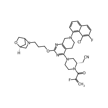 C=C(F)C(=O)N1CCN(c2nc(OCCCN3C[C@@H]4CC3CO4)nc3c2CCN(c2cccc4ccc(F)c(Cl)c24)C3)C[C@@H]1CC#N